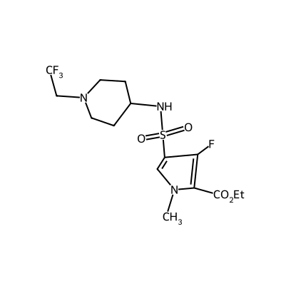 CCOC(=O)c1c(F)c(S(=O)(=O)NC2CCN(CC(F)(F)F)CC2)cn1C